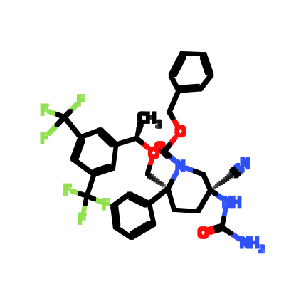 C[C@@H](OC[C@@]1(c2ccccc2)CC[C@](C#N)(NC(N)=O)CN1C(=O)OCc1ccccc1)c1cc(C(F)(F)F)cc(C(F)(F)F)c1